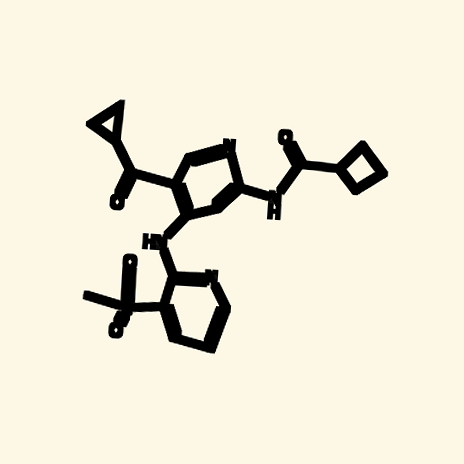 CS(=O)(=O)c1cccnc1Nc1cc(NC(=O)C2CCC2)ncc1C(=O)C1CC1